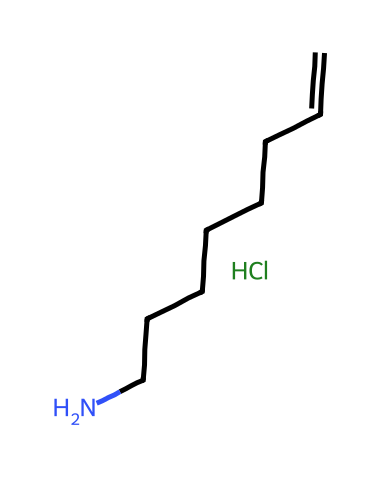 C=CCCCCCCN.Cl